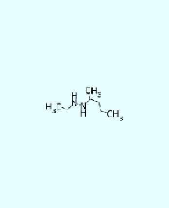 CCCC(C)NNCC